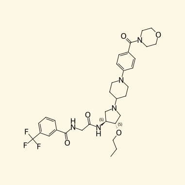 CCCO[C@H]1CN(C2CCN(c3ccc(C(=O)N4CCOCC4)cc3)CC2)C[C@@H]1NC(=O)CNC(=O)c1cccc(C(F)(F)F)c1